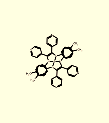 Cc1ccc(N2C(c3ccncc3)=C(c3ccncc3)N(c3ccc(C)cc3)[Si]23N(c2ccc(C)cc2)C(c2ccncc2)=C(c2ccncc2)N3c2ccc(C)cc2)cc1